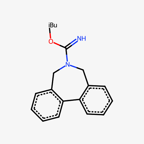 CCC(C)OC(=N)N1Cc2ccccc2-c2ccccc2C1